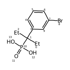 CCC(CC)(c1cccc(Br)c1)P(=O)(O)O